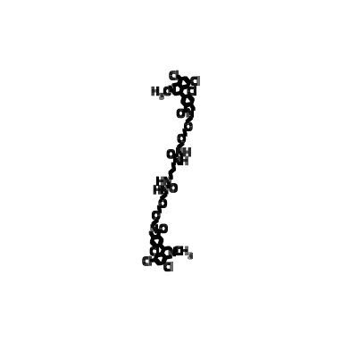 CN1Cc2c(Cl)cc(Cl)cc2C(c2cc3c(cc2Cl)CN(CCOCCOCCNC(=O)NCCCCNC(=O)NCCOCCOCCN2Cc4cc(Cl)c(C5CN(C)Cc6c(Cl)cc(Cl)cc65)cc4C2=O)C3=O)C1